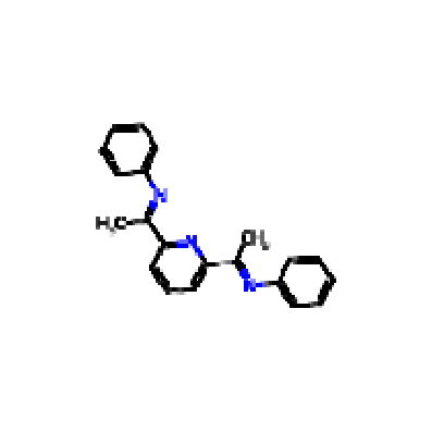 C/C(=N\c1ccccc1)c1cccc(/C(C)=N/c2ccccc2)n1